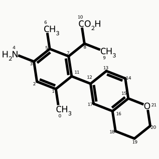 Cc1cc(N)c(C)c(C(C)C(=O)O)c1-c1ccc2c(c1)CCCO2